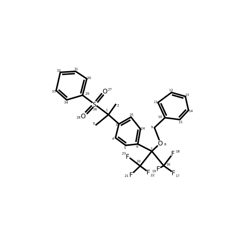 CC(C)(c1ccc(C(OCc2ccccc2)(C(F)(F)F)C(F)(F)F)cc1)S(=O)(=O)c1ccccc1